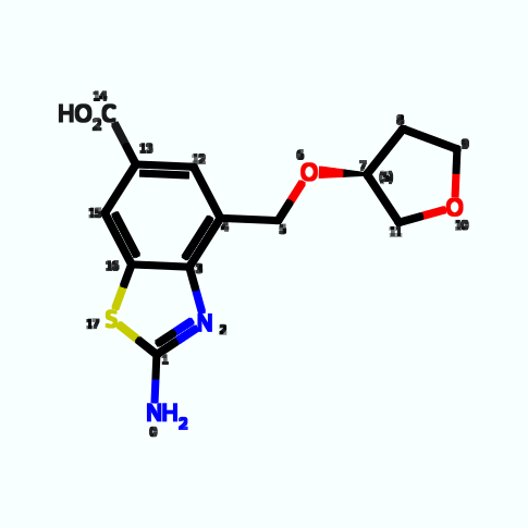 Nc1nc2c(CO[C@H]3CCOC3)cc(C(=O)O)cc2s1